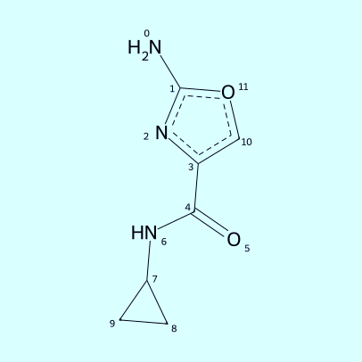 Nc1nc(C(=O)NC2CC2)co1